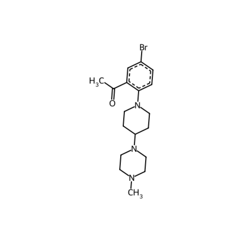 CC(=O)c1cc(Br)ccc1N1CCC(N2CCN(C)CC2)CC1